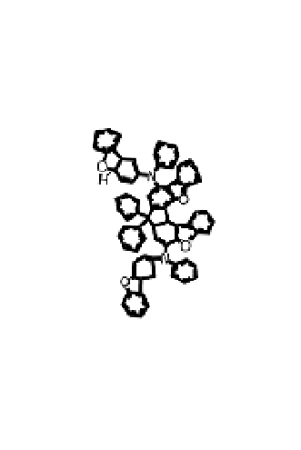 C1=C[C@H]2Oc3ccccc3C2C=C1N(c1ccccc1)c1cc2c(c3oc4ccccc4c13)C1c3c(oc4ccccc34)C(N(C3=CC=C4Oc5ccccc5C4C3)c3ccccc3)=CC1C2(c1ccccc1)c1ccccc1